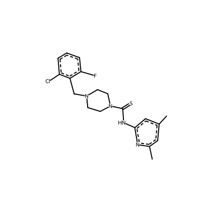 Cc1cc(C)nc(NC(=S)N2CCN(Cc3c(F)cccc3Cl)CC2)c1